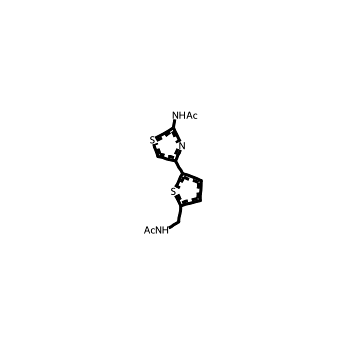 CC(=O)NCc1ccc(-c2csc(NC(C)=O)n2)s1